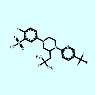 CC(C)(F)CC1CN(c2ccc(F)c(S(C)(=O)=O)c2)CCN1c1ccc(C(F)(F)F)cn1